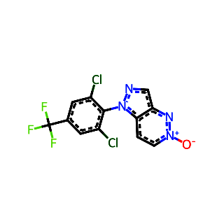 [O-][n+]1ccc2c(cnn2-c2c(Cl)cc(C(F)(F)F)cc2Cl)n1